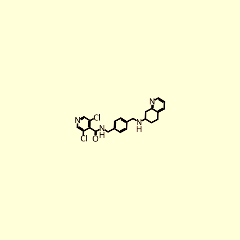 O=C(NCc1ccc(CNC2CCc3cccnc3C2)cc1)c1c(Cl)cncc1Cl